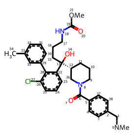 CNCc1ccc(C(=O)N2CCC[C@@H](C(O)(CCCNC(=O)OC)c3cccc(Cl)c3-c3cccc(C)c3)C2)cc1